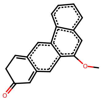 COc1cc2ccccc2c2cc3c(cc12)=CC(=O)CC=3